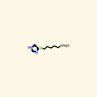 CCCCCCCCCCCCCl.c1c[nH]cn1